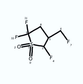 O=S1(=O)C(F)C(CF)CC1(F)F